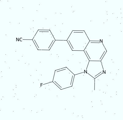 Cc1nc2cnc3ccc(-c4ccc(C#N)cc4)cc3c2n1-c1ccc(F)cc1